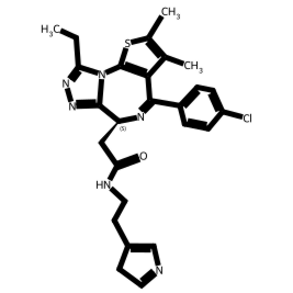 CCc1nnc2n1-c1sc(C)c(C)c1C(c1ccc(Cl)cc1)=N[C@H]2CC(=O)NCCC1=CN=CC1